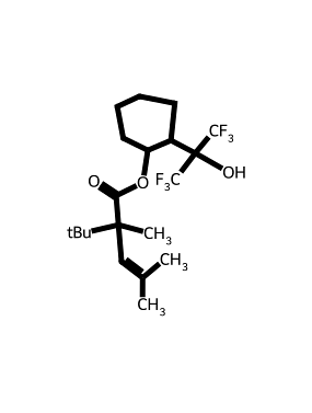 CC(C)=CC(C)(C(=O)OC1CCCCC1C(O)(C(F)(F)F)C(F)(F)F)C(C)(C)C